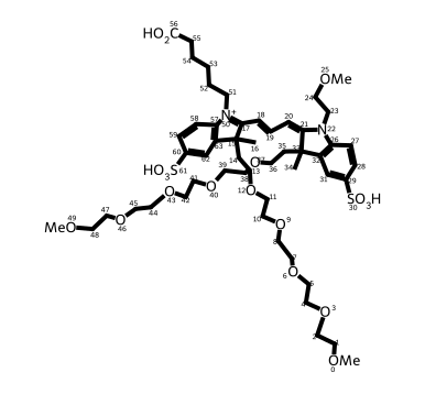 COCCOCCOCCOCCOCCC1(C)C(/C=C/C=C2/N(CCOC)c3ccc(S(=O)(=O)O)cc3C2(C)CCOCCOCCOCCOCCOC)=[N+](CCCCCC(=O)O)c2ccc(S(=O)(=O)O)cc21